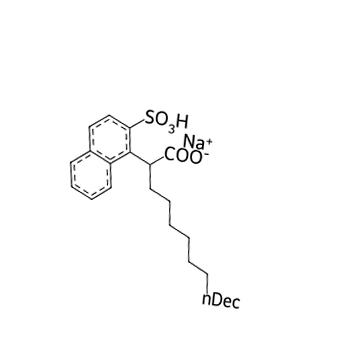 CCCCCCCCCCCCCCCCC(C(=O)[O-])c1c(S(=O)(=O)O)ccc2ccccc12.[Na+]